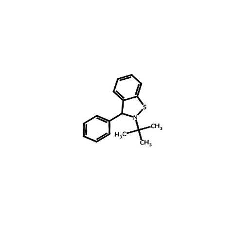 CC(C)(C)N1Sc2ccccc2C1c1ccccc1